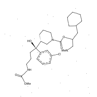 CNCC(CC1CCCCC1)OC(=O)N1CCC[C@@H]([C@@](O)(CCCNC(=O)OC)c2cccc(Cl)c2)C1